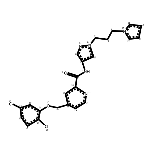 O=C(Nc1cnn(CCCn2cccc2)c1)c1cc(COc2cc(Cl)ccc2Cl)ccn1